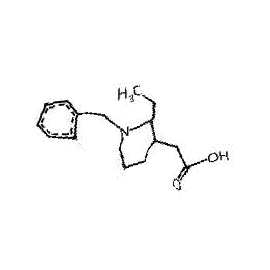 CCC1C(CC(=O)O)CCCN1Cc1ccccc1